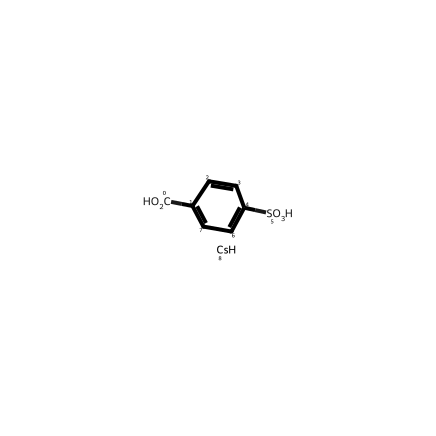 O=C(O)c1ccc(S(=O)(=O)O)cc1.[CsH]